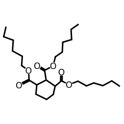 CCCCCCOC(=O)C1CCCC(C(=O)OCCCCCC)C1C(=O)OCCCCCC